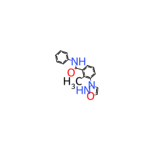 Cc1c(C(=O)Nc2ccccc2)cccc1N1C=CON1